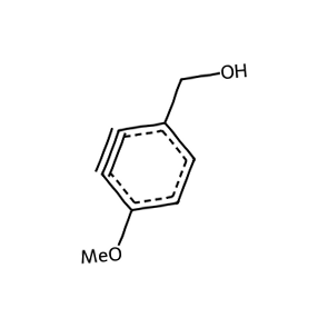 COc1c#cc(CO)cc1